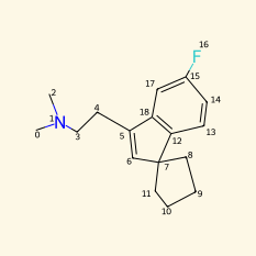 CN(C)CCC1=CC2(CCCC2)c2ccc(F)cc21